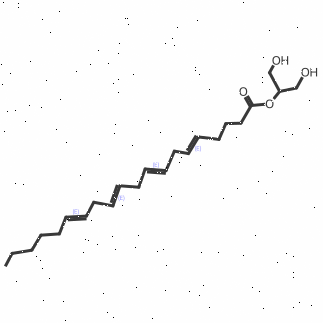 CCCCC/C=C/C/C=C/C/C=C/C/C=C/CCCC(=O)OC(CO)CO